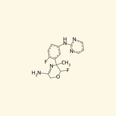 CC1(c2cc(Nc3ncccn3)ccc2F)N=C(N)COC1F